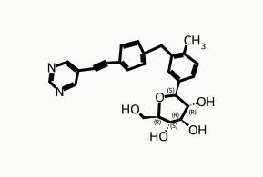 Cc1ccc([C@@H]2O[C@H](CO)[C@@H](O)[C@H](O)[C@H]2O)cc1Cc1ccc(C#Cc2cncnc2)cc1